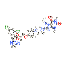 CCn1c(N2CCN(c3ccc(OC[C@@H]4CO[C@@](Cc5ncc[nH]5)(c5ccc(Cl)cc5Cl)O4)cc3)CC2)nc2c1c(=O)n(C)c(=O)n2C